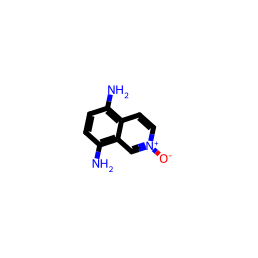 Nc1ccc(N)c2c[n+]([O-])ccc12